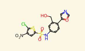 O=[N+]([O-])c1cc(S(=O)(=O)Nc2ccc(-c3cnco3)c(CO)c2)sc1Cl